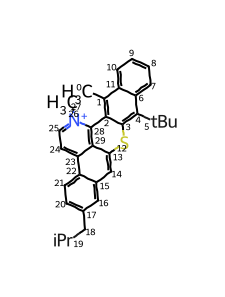 Cc1c2c(c(C(C)(C)C)c3ccccc13)Sc1cc3cc(CC(C)C)ccc3c3cc[n+](C)c-2c13